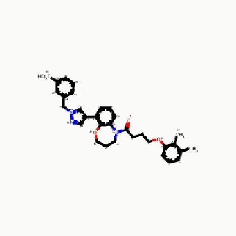 Cc1cccc(OCCCC(=O)N2CCCOc3c(-c4cnn(Cc5cccc(C(=O)O)c5)c4)cccc32)c1C